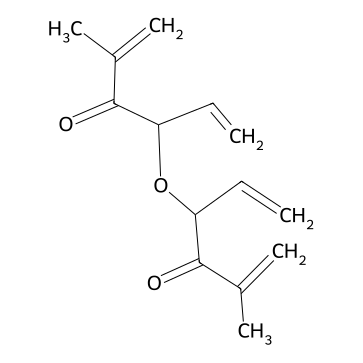 C=CC(OC(C=C)C(=O)C(=C)C)C(=O)C(=C)C